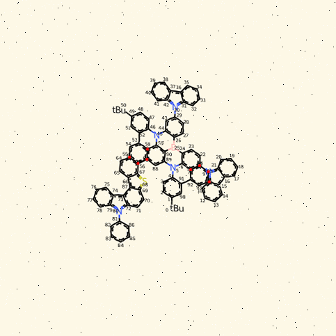 CC(C)(C)c1ccc(N2c3cc(-n4c5ccccc5c5ccccc54)ccc3B3c4ccc(-n5c6ccccc6c6ccccc65)cc4N(c4ccc(C(C)(C)C)cc4-c4ccccc4)c4cc(-c5cccc6c5sc5ccc7c(c8ccccc8n7-c7ccccc7)c56)cc2c43)c(-c2ccccc2)c1